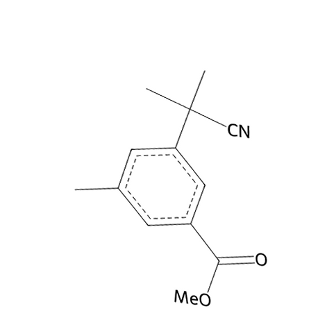 COC(=O)c1cc(C)cc(C(C)(C)C#N)c1